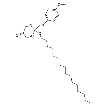 CCCCCCCCCCCCCCCCOC1(C=Cc2ccc(OC)cc2)OCC(=O)CO1